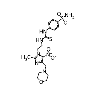 Cc1nc(CN2CCOCC2)c([N+](=O)[O-])n1CCNC(=S)Nc1ccc(S(N)(=O)=O)cc1